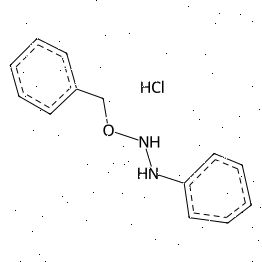 Cl.c1ccc(CONNc2ccccc2)cc1